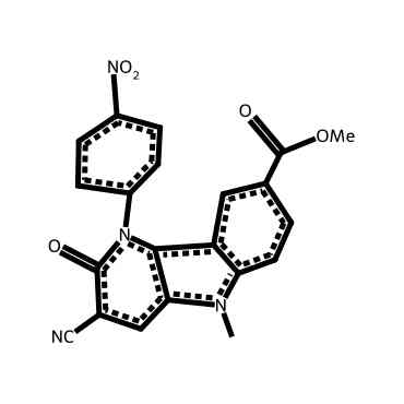 COC(=O)c1ccc2c(c1)c1c(cc(C#N)c(=O)n1-c1ccc([N+](=O)[O-])cc1)n2C